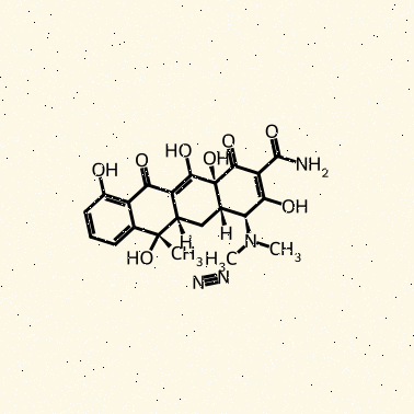 CN(C)[C@@H]1C(O)=C(C(N)=O)C(=O)[C@@]2(O)C(O)=C3C(=O)c4c(O)cccc4[C@@](C)(O)[C@H]3C[C@@H]12.N#N